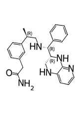 C[C@@H](CN[C@H](c1ccccc1)[C@H]1CNc2cccnc2N1)c1cccc(CC(N)=O)c1